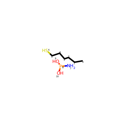 CCCCCCS.NP(O)O